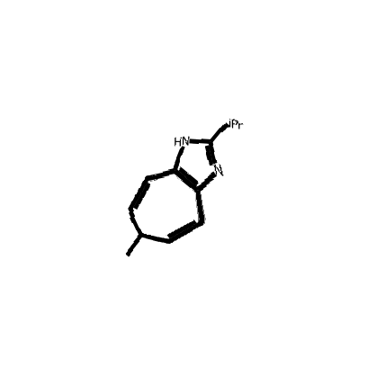 CC1C=Cc2nc(C(C)C)[nH]c2C=C1